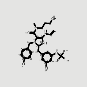 C=CNC1=C(C(=O)N(C)CCCO)N(Cc2ccc(Cl)cc2)C(Cc2cc(Cl)cc(OC(F)(F)F)c2)N1